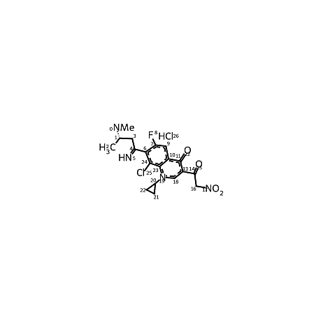 CN[C@@H](C)CC(=N)c1c(F)cc2c(=O)c(C(=O)C[N+](=O)[O-])cn(C3CC3)c2c1Cl.Cl